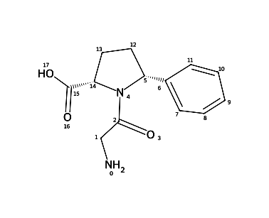 NCC(=O)N1[C@@H](c2ccccc2)CC[C@H]1C(=O)O